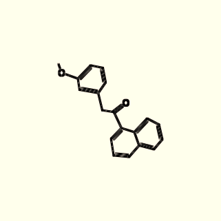 COc1cccc(CC(=O)c2cccc3ccccc23)c1